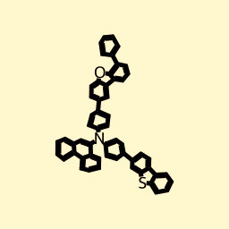 c1ccc(-c2cccc3c2oc2ccc(-c4ccc(N(c5ccc(-c6ccc7c(c6)sc6ccccc67)cc5)c5cc6ccccc6c6ccccc56)cc4)cc23)cc1